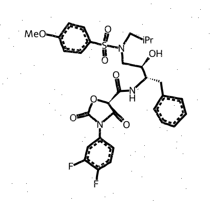 COc1ccc(S(=O)(=O)N(CC(C)C)C[C@@H](O)[C@H](Cc2ccccc2)NC(=O)[C@@H]2OC(=O)N(c3ccc(F)c(F)c3)C2=O)cc1